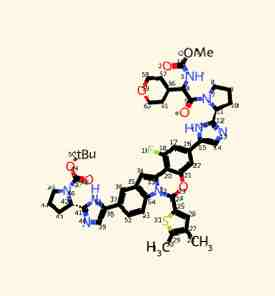 COC(=O)NC(C(=O)N1CCC[C@H]1c1ncc(-c2cc(F)c3c(c2)OC(c2cc(C)c(C)s2)n2c-3cc3cc(-c4cnc([C@@H]5CCCN5C(=O)OC(C)(C)C)[nH]4)ccc32)[nH]1)C1CCOCC1